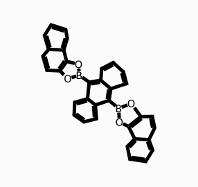 c1ccc2c3c(ccc2c1)OB(c1c2ccccc2c(B2Oc4ccc5ccccc5c4O2)c2ccccc12)O3